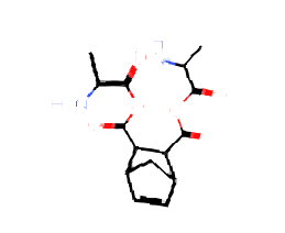 CC(N)C(=O)OC(=O)C1C2C=CC(C2)C1C(=O)OC(=O)C(C)N